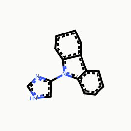 c1ccc2c(c1)c1ccccc1n2-c1c[nH]cn1